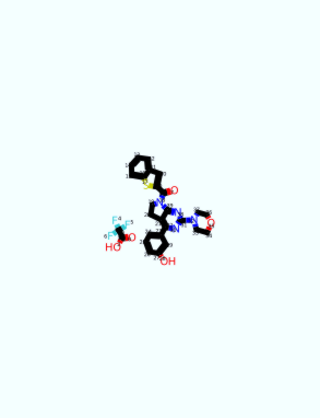 O=C(O)C(F)(F)F.O=C(c1cc2ccccc2s1)N1CCc2c(-c3cccc(O)c3)nc(N3CCOCC3)nc21